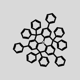 c1ccc(-c2cc3c4c(c2)C(c2ccccc2)(c2ccccc2)c2cc(-c5ccccc5)cc5c2N4c2c(cc(-c4ccccc4)cc2C5(c2ccccc2)c2ccccc2)C3(c2ccccc2)c2ccccc2)cc1